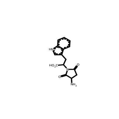 NC1CC(=O)N(C(Cc2c[nH]c3ccccc23)C(=O)O)C1=O